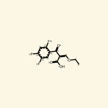 CCOC=C(C(=O)O)C(=O)c1cc(F)c(F)cc1F